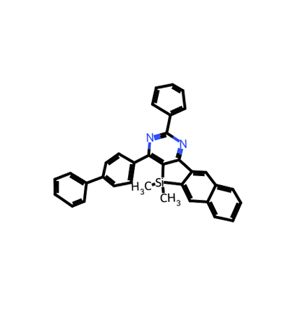 C[Si]1(C)c2cc3ccccc3cc2-c2nc(-c3ccccc3)nc(-c3ccc(-c4ccccc4)cc3)c21